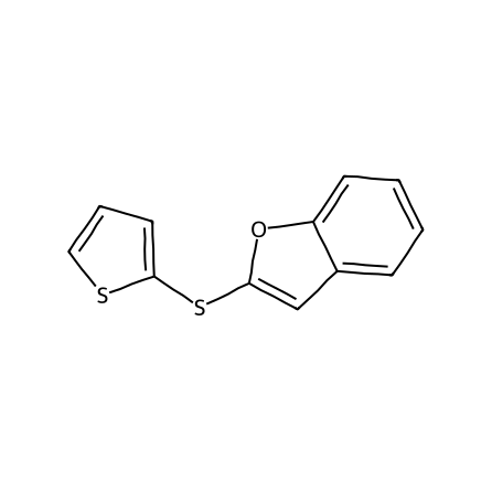 c1csc(Sc2cc3ccccc3o2)c1